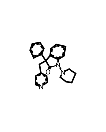 O=C1N(N2CCCCC2)c2ccccc2C1(Cc1ccncc1)c1ccccc1